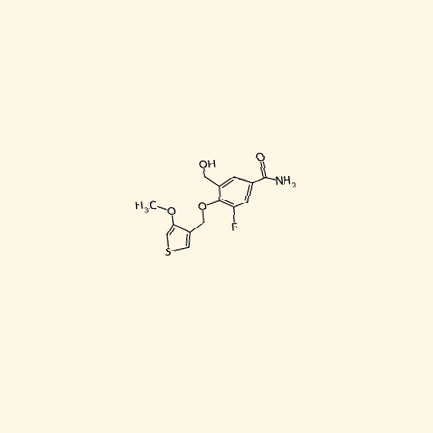 COc1cscc1COc1c(F)cc(C(N)=O)cc1CO